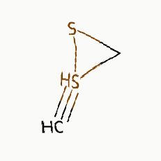 C#[SH]1CS1